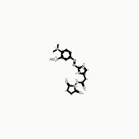 CN(C)c1ccc(N=Nc2ncc(CC(=O)ON3C(=O)CCC3=O)s2)cc1S(=O)(=O)O